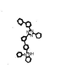 C1=CCCC(c2nc(-c3cccc(-c4ccccc4)c3)nc(-c3cccc(-c4ccc(C5NC6=C(CCC=C6)N5c5ccccc5)cc4)c3)n2)=C1